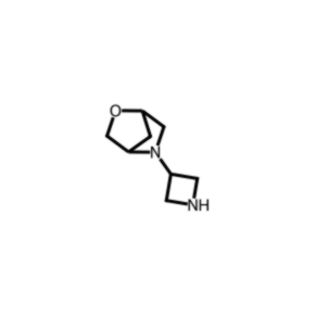 C1NCC1N1CC2CC1CO2